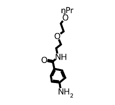 CCCOCCOCCNC(=O)c1ccc(N)cc1